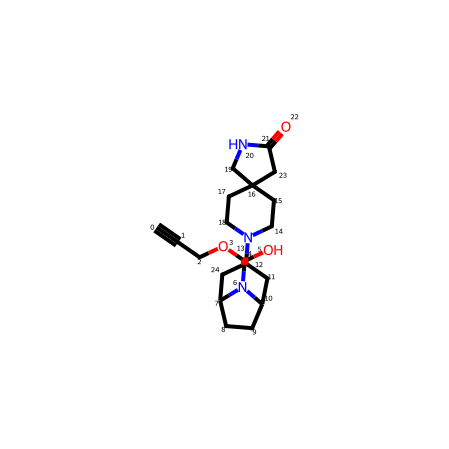 C#CCOC(O)N1C2CCC1CC(N1CCC3(CC1)CNC(=O)C3)C2